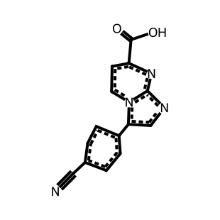 N#Cc1ccc(-c2cnc3nc(C(=O)O)ccn23)cc1